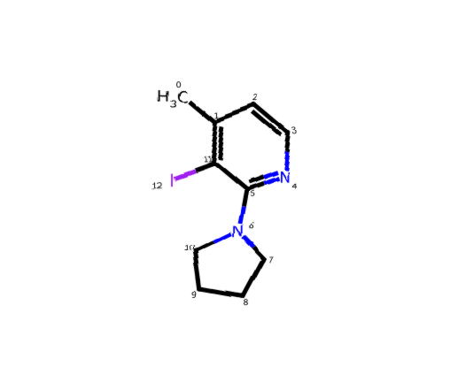 Cc1ccnc(N2CCCC2)c1I